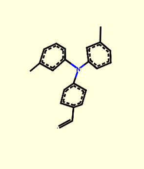 [CH]=Cc1ccc(N(c2cccc(C)c2)c2cccc(C)c2)cc1